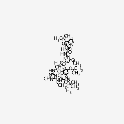 CC(C)Oc1cc(-n2nc(C(C)(C)C)oc2=O)c(Cl)cc1Cl.CCNc1nc(Cl)nc(NC(C)C)n1.COc1cc(OC)nc(NC(=O)NS(=O)(=O)c2ncccc2C(=O)N(C)C)n1